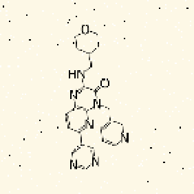 O=c1c(NCC2CCOCC2)nc2ccc(-c3cncnc3)nc2n1Cc1cccnc1